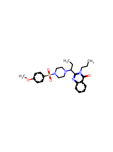 CCCn1c(C(CC)N2CCN(S(=O)(=O)c3ccc(OC)cc3)CC2)nc2ccccc2c1=O